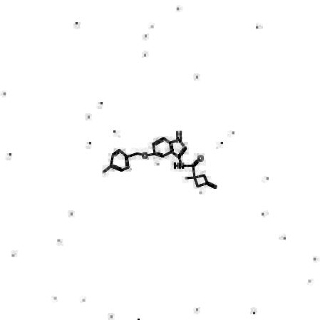 C=C1CC(C)(C(=O)Nc2c[nH]c3ccc(OCc4ccc(C)cc4)cc23)C1